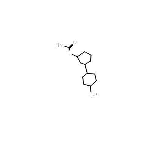 CCCCC1CCC(C2CCCC(OC(=O)CCC)C2)CC1